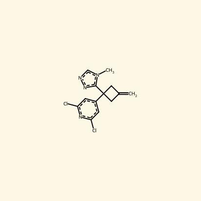 C=C1CC(c2cc(Cl)nc(Cl)c2)(c2nncn2C)C1